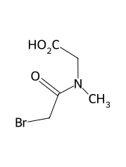 CN(CC(=O)O)C(=O)CBr